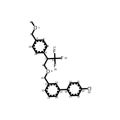 COCc1ccc(C(COCc2cccc(-c3ccc(Cl)cc3)c2)C(F)(F)F)cc1